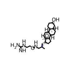 C/C(=C\[C@H]1CC[C@]2(O)[C@@H]3CC[C@@H]4C[C@@H](O)CC[C@]4(C)[C@H]3CC[C@]12C)CNOCCNC(=N)N